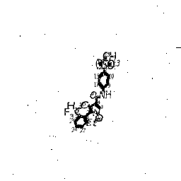 CCOn1cc(C(=O)Nc2ccc(S(C)(=O)=O)cc2)c(C)c1-c1ccccc1C(F)(F)F